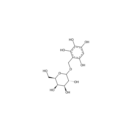 OC[C@H]1OC(OCc2c(O)cc(O)c(O)c2O)[C@H](O)[C@@H](O)[C@H]1O